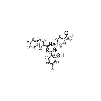 COC(=O)c1ccc(-c2nc(-c3ccc4ccccc4c3)nc(-c3ccc(C)cc3O)n2)cc1